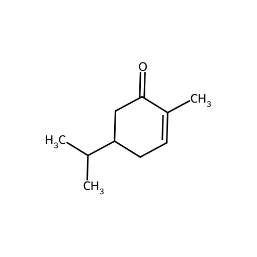 CC1=CCC(C(C)C)CC1=O